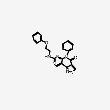 O=c1c2c[nH]nc2c2cnc(NCCOc3ccccc3)nc2n1-c1ccccc1